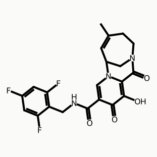 CC1=CC2CN(CC1)C(=O)c1c(O)c(=O)c(C(=O)NCc3c(F)cc(F)cc3F)cn12